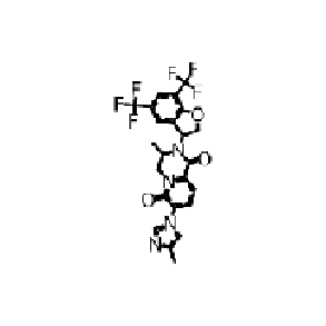 Cc1cn(-c2ccc3n(c2=O)CC(C)N(C2COc4c2cc(C(F)(F)F)cc4C(F)(F)F)C3=O)cn1